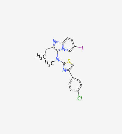 CCc1nc2ccc(I)cn2c1N(C)c1nc(-c2ccc(Cl)cc2)cs1